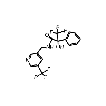 O=C(NCc1cncc(C(F)(F)F)c1)C(O)(c1ccccc1)C(F)(F)F